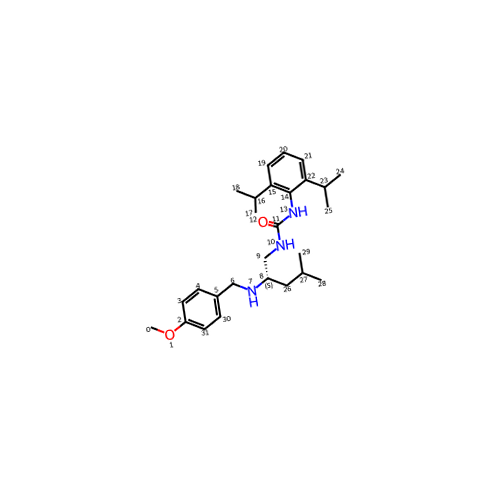 COc1ccc(CN[C@H](CNC(=O)Nc2c(C(C)C)cccc2C(C)C)CC(C)C)cc1